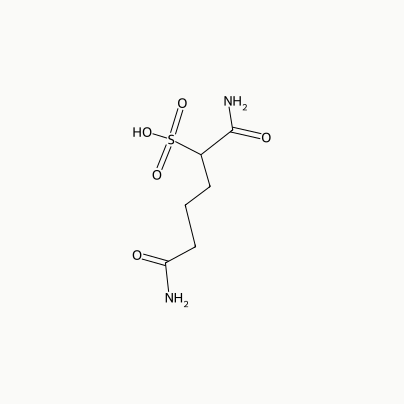 NC(=O)CCCC(C(N)=O)S(=O)(=O)O